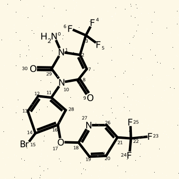 Nn1c(C(F)(F)F)cc(=O)n(-c2ccc(Br)c(Oc3ccc(C(F)(F)F)cn3)c2)c1=O